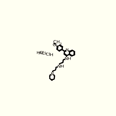 COc1ccc(-c2cc(NCCCNCCCN3CCCCC3)c3ccccc3n2)cc1.Cl.Cl.Cl